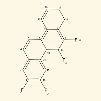 Fc1cc2ccc3c4c(c(F)c(F)c3c2cc1F)CCC=C4